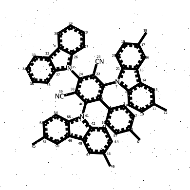 Cc1ccc(-c2c(-n3c4ccc(C)cc4c4cc(C)ccc43)c(C#N)c(-n3c4ccccc4c4ccccc43)c(C#N)c2-n2c3ccc(C)cc3c3cc(C)ccc32)cc1